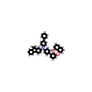 CC1(C)c2ccccc2-c2ccc(N(c3ccc(-c4ccccc4)cc3)c3ccc(-c4cccc5c4Oc4cccc6cccc(c46)O5)cc3)cc21